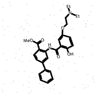 CCN(CC)CCOc1ccc(O)c(C(=O)Nc2cc(-c3ccccc3)ccc2C(=O)OC)c1